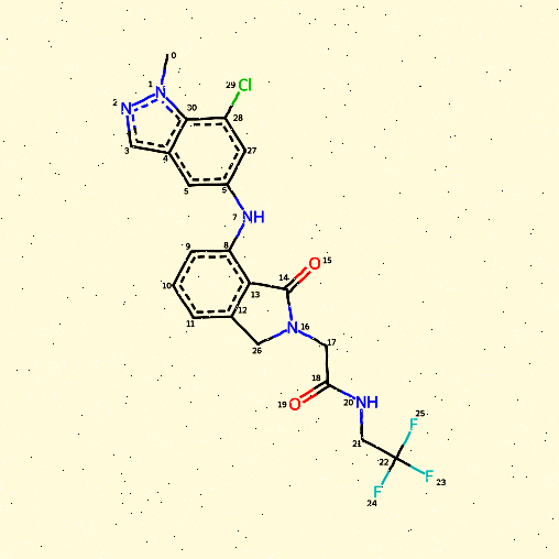 Cn1ncc2cc(Nc3cccc4c3C(=O)N(CC(=O)NCC(F)(F)F)C4)cc(Cl)c21